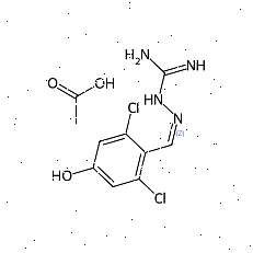 CC(=O)O.N=C(N)N/N=C\c1c(Cl)cc(O)cc1Cl